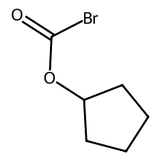 O=C(Br)OC1CCCC1